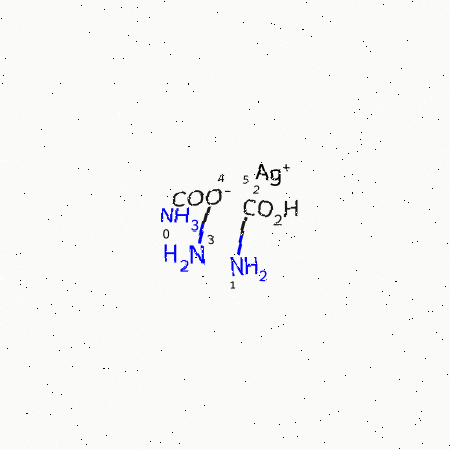 N.NC(=O)O.NC(=O)[O-].[Ag+]